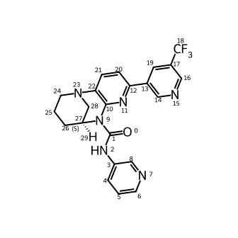 O=C(Nc1cccnc1)N1c2nc(-c3cncc(C(F)(F)F)c3)ccc2N2CCC[C@H]1C2